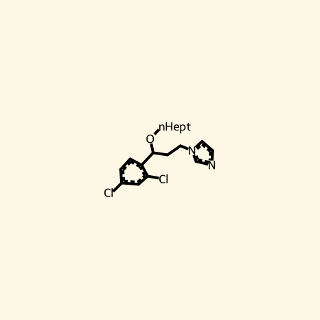 CCCCCCCOC(CCn1ccnc1)c1ccc(Cl)cc1Cl